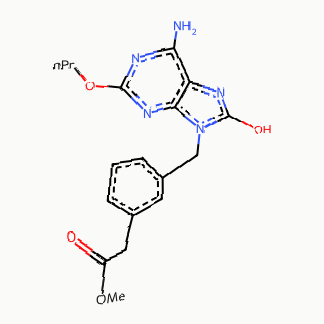 CCCOc1nc(N)c2nc(O)n(Cc3cccc(CC(=O)OC)c3)c2n1